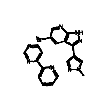 Cn1cc(-c2n[nH]c3ncc(Br)cc23)cn1.c1ccc(-c2ccccn2)nc1